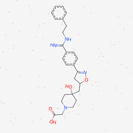 N=C(NCCc1ccccc1)c1ccc(C2=NOC(CC3(O)CCN(CC(=O)O)CC3)C2)cc1